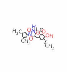 C=CCc1cc(/C=C2\C(=O)NC(=O)N(c3cc(C)cc(C)c3)C2=O)cc(OC)c1O